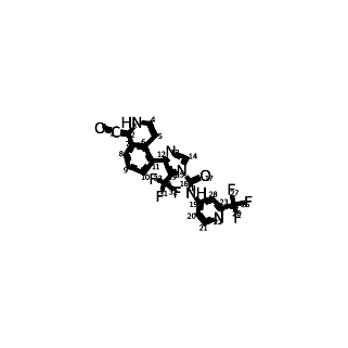 O=C=C1NC=Cc2c1cccc2-c1ncn(C(=O)Nc2ccnc(C(F)(F)F)c2)c1C(F)(F)F